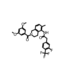 COc1cc(OC)cc(C(=O)N2CCc3c(ccc(C)c3NC(=O)Cc3ccc(C(F)(F)F)c(F)c3)C2)c1